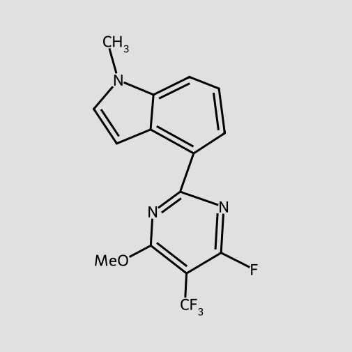 COc1nc(-c2cccc3c2ccn3C)nc(F)c1C(F)(F)F